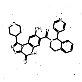 Cc1cc2c(cc1C(=O)N1CCc3ccccc3C1c1ccncc1)[nH]c(=O)c1nnc(C3CCOCC3)n12